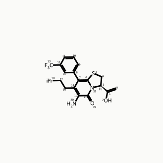 C=C(O)[C@@H]1CSc2c(-c3cccc(C(F)(F)F)c3)c(CCC(C)C)c(N)c(=O)n21